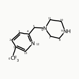 FC(F)(F)c1ccc(CN2CCNCC2)nc1